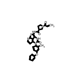 C=CC(=O)N1CCC(C(=O)Nc2sc3nccc4c3c2NC(=O)N4c2ccc(Oc3ccccc3)cc2C)C1